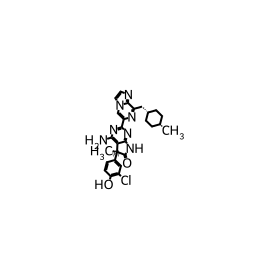 C[C@]1(c2ccc(O)c(Cl)c2)C(=O)Nc2nc(-c3cn4ccnc4c(C[C@H]4CC[C@@H](C)CC4)n3)nc(N)c21